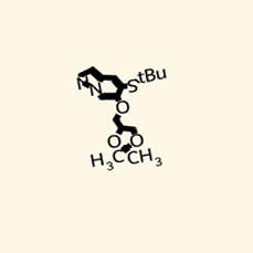 CC1(C)OCC(COc2cn3nccc3cc2SC(C)(C)C)O1